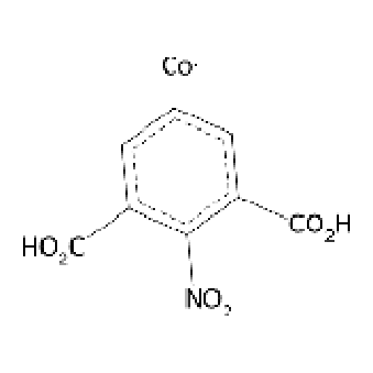 O=C(O)c1cccc(C(=O)O)c1[N+](=O)[O-].[Co]